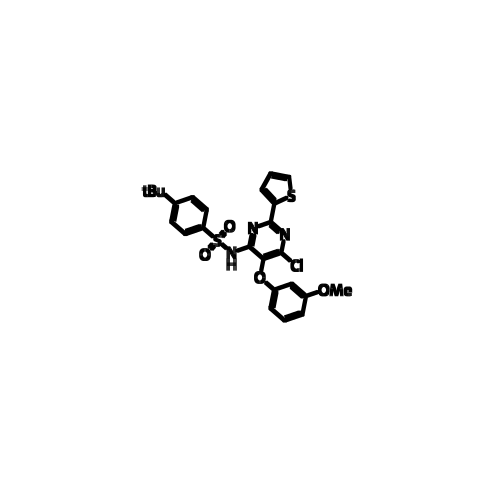 COc1cccc(Oc2c(Cl)nc(-c3cccs3)nc2NS(=O)(=O)c2ccc(C(C)(C)C)cc2)c1